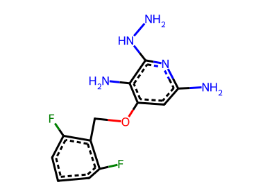 NNc1nc(N)cc(OCc2c(F)cccc2F)c1N